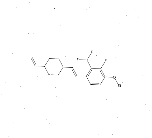 C=CC1CCC(/C=C/c2ccc(OCC)c(F)c2C(F)F)CC1